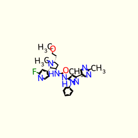 COCC[C@@H]1C[C@@H](NC(=O)Nc2c(C)c(-c3cnc(C)nc3)nn2-c2ccccc2)[C@H](c2ccnc(F)c2)N1C